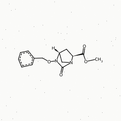 COC(=O)[C@@H]1C[C@@H]2CN1C(=O)N2OCc1ccccc1